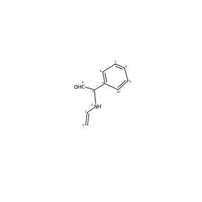 C=CNC(C=O)c1ccccc1